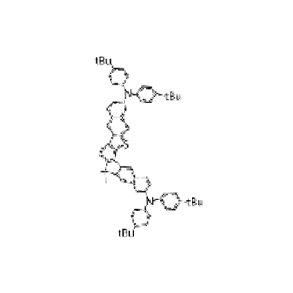 CC(C)(C)c1ccc(N(c2ccc(C(C)(C)C)cc2)c2ccc3cc4c(cc3c2)C(C)(C)c2ccc3c(sc5cc6cc(N(c7ccc(C(C)(C)C)cc7)c7ccc(C(C)(C)C)cc7)ccc6cc53)c2-4)cc1